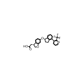 O=C(O)C[C@@H]1COc2cc(O[C@@H]3CCc4c(-c5cccnc5C(F)(F)F)cccc43)ccc21